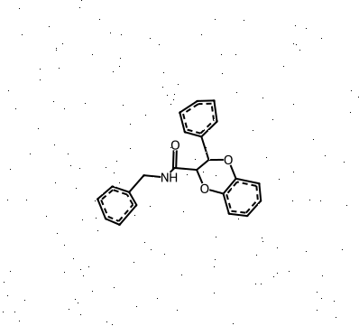 O=C(NCc1ccccc1)C1Oc2ccccc2OC1c1ccccc1